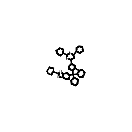 C1=CC(c2nc3ccc(C4(c5ccccc5)c5ccccc5-c5cc(-c6cc(-c7ccccc7)nc(-c7ccccc7)n6)ccc54)cc3o2)=CCC1